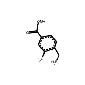 COC(=O)c1ccc(CP)c(C(F)(F)F)c1